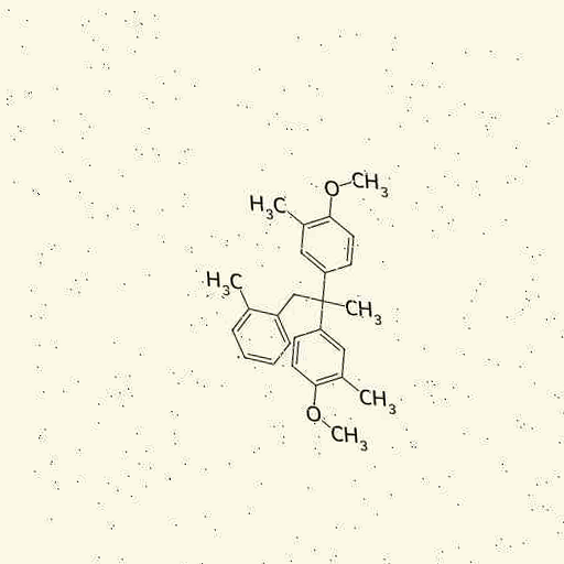 COc1ccc(C(C)(Cc2cc[c]cc2C)c2ccc(OC)c(C)c2)cc1C